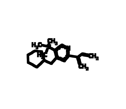 C=CC(=C)c1cc(CC2CCCCC2)c([Si](C)(C)C)cn1